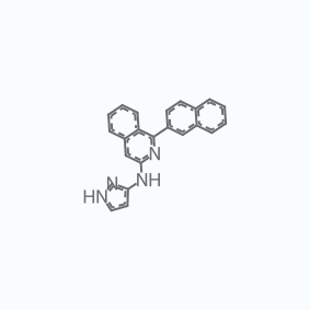 c1ccc2cc(-c3nc(Nc4cc[nH]n4)cc4ccccc34)ccc2c1